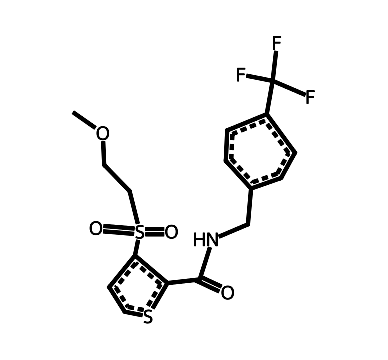 COCCS(=O)(=O)c1ccsc1C(=O)NCc1ccc(C(F)(F)F)cc1